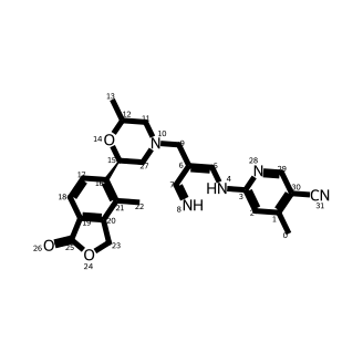 Cc1cc(N/C=C(\C=N)CN2CC(C)O[C@H](c3ccc4c(c3C)COC4=O)C2)ncc1C#N